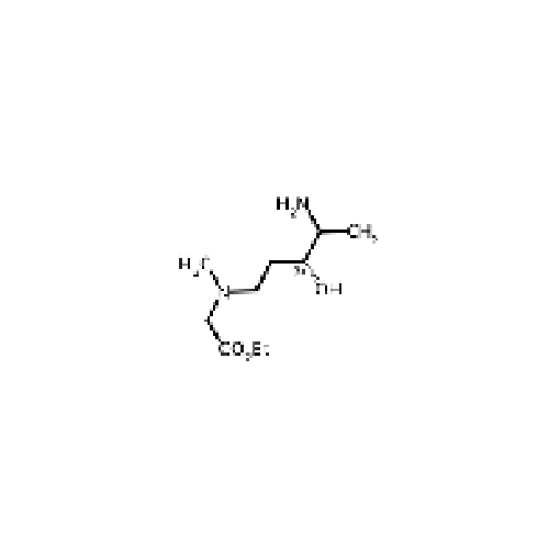 CCOC(=O)CN(C)CC[C@@H](O)C(C)N